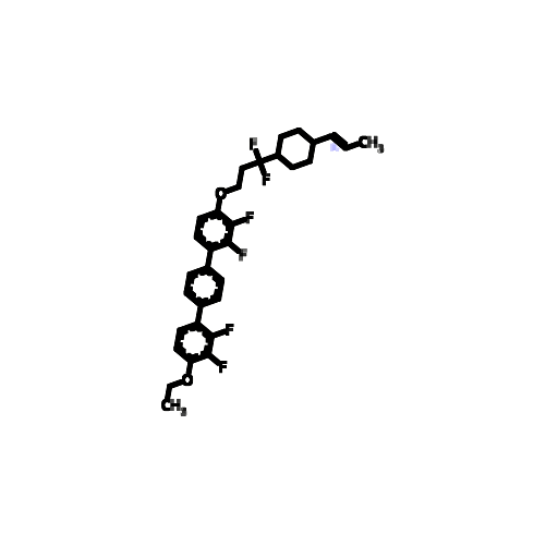 C/C=C/C1CCC(C(F)(F)CCOc2ccc(-c3ccc(-c4ccc(OCC)c(F)c4F)cc3)c(F)c2F)CC1